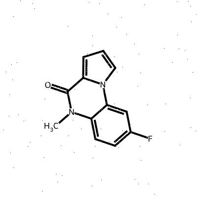 Cn1c(=O)c2cccn2c2cc(F)ccc21